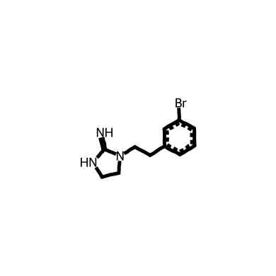 N=C1NCCN1CCc1cccc(Br)c1